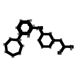 CCC(CC)CN1CCCC(Nc2nccc(N3CCCCCC3)n2)C1